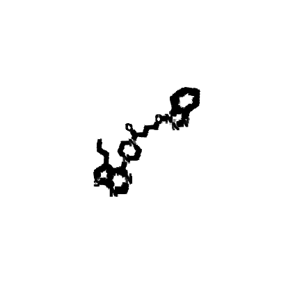 CCCc1csc2ncnc(N3CCN(C(=O)CCCOn4nnc5ccccc54)CC3)c12